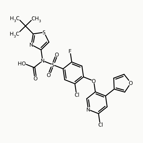 CC(C)(C)c1nc(N(C(=O)O)S(=O)(=O)c2cc(Cl)c(Oc3cnc(Cl)cc3-c3ccoc3)cc2F)cs1